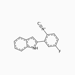 [C-]#[N+]c1ccc(F)cc1-c1cc2ccccc2[nH]1